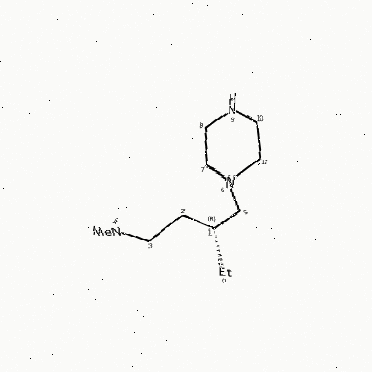 CC[C@H](CCNC)CN1CCNCC1